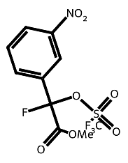 COC(=O)C(F)(OS(=O)(=O)C(F)(F)F)c1cccc([N+](=O)[O-])c1